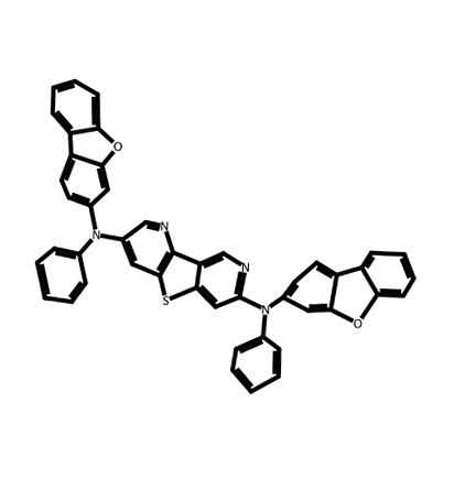 c1ccc(N(c2ccc3c(c2)oc2ccccc23)c2cnc3c(c2)sc2cc(N(c4ccccc4)c4ccc5c(c4)oc4ccccc45)ncc23)cc1